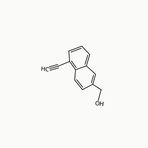 C#Cc1cccc2cc(CO)ccc12